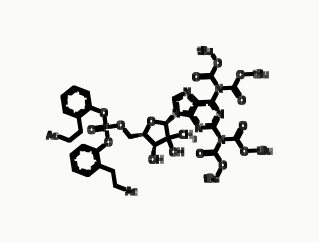 CC(=O)CCc1ccccc1OP(=O)(OC[C@H]1O[C@@H](n2cnc3c(N(C(=O)OC(C)(C)C)C(=O)OC(C)(C)C)nc(N(C(=O)OC(C)(C)C)C(=O)OC(C)(C)C)nc32)C(C)(O)[C@H]1O)Oc1ccccc1CCC(C)=O